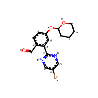 O=Cc1ccc(OC2CCCCO2)cc1-c1ncc(Br)cn1